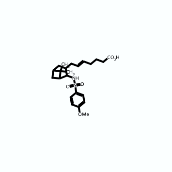 COc1ccc(S(=O)(=O)NC2C(C/C=C/CCCC(=O)O)CC3CC2C3(C)C)cc1